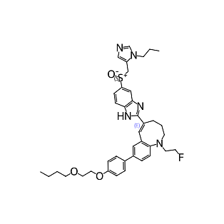 CCCCOCCOc1ccc(-c2ccc3c(c2)/C=C(/c2nc4cc([S@+]([O-])Cc5cncn5CCC)ccc4[nH]2)CCCN3CCF)cc1